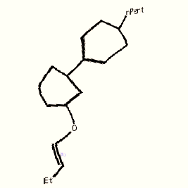 CC/C=C/OC1CCCC(C2CCC(CCCCC)CC2)C1